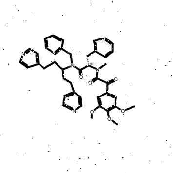 COc1cc(C(=O)C(=O)N(C)[C@@H](Cc2ccccc2)C(=O)N(Cc2ccccc2)C(CCc2ccncc2)CCc2ccncc2)cc(OC)c1OC